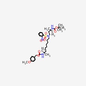 COc1ccc(COC(=O)NC(C)(C)CCCCCCCN(CCC(C)(C)NC(=O)OC(C)(C)C)S(=O)(=O)c2ccccc2[N+](=O)[O-])cc1